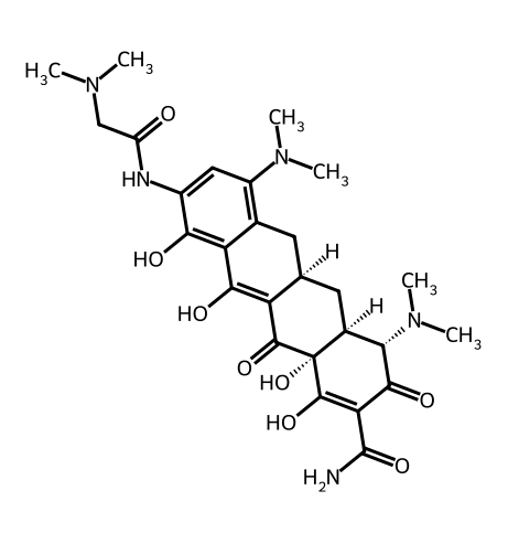 CN(C)CC(=O)Nc1cc(N(C)C)c2c(c1O)C(O)=C1C(=O)[C@]3(O)C(O)=C(C(N)=O)C(=O)[C@@H](N(C)C)[C@@H]3C[C@@H]1C2